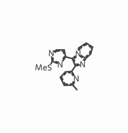 CSc1nccc(-c2c(-c3cccc(C)n3)nc3ccccn23)n1